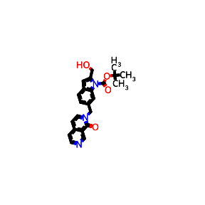 CC(C)(C)OC(=O)n1c(CO)cc2ccc(Cn3ccc4ccncc4c3=O)cc21